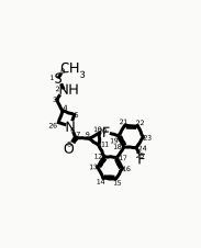 CSNCC1CN(C(=O)C2CC2c2ccccc2C2=C(F)C=CCC2F)C1